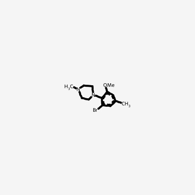 COc1cc(C)cc(Br)c1N1CCN(C)CC1